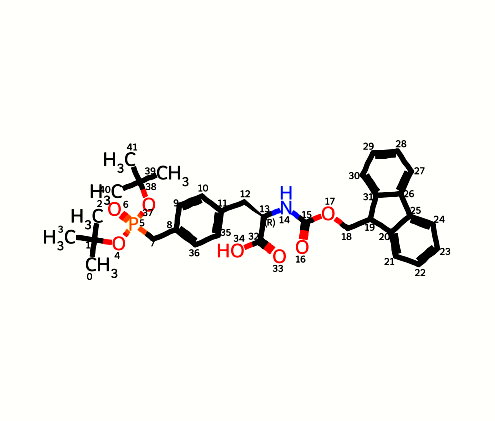 CC(C)(C)OP(=O)(Cc1ccc(C[C@@H](NC(=O)OCC2c3ccccc3-c3ccccc32)C(=O)O)cc1)OC(C)(C)C